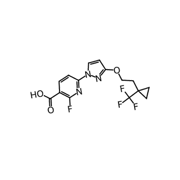 O=C(O)c1ccc(-n2ccc(OCCC3(C(F)(F)F)CC3)n2)nc1F